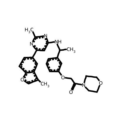 Cc1nc(NC(C)c2cccc(OCC(=O)N3CCOCC3)c2)cc(-c2ccc3occ(C)c3c2)n1